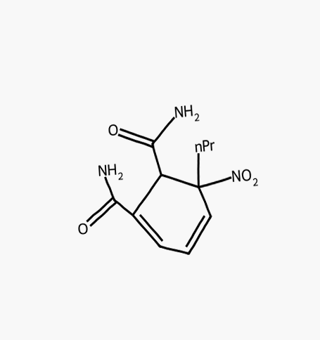 CCCC1([N+](=O)[O-])C=CC=C(C(N)=O)C1C(N)=O